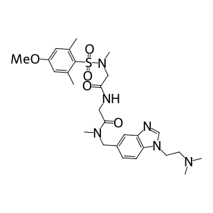 COc1cc(C)c(S(=O)(=O)N(C)CC(=O)NCC(=O)N(C)Cc2ccc3c(c2)ncn3CCN(C)C)c(C)c1